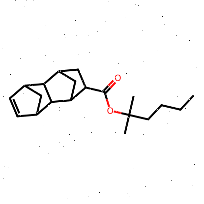 CCCCC(C)(C)OC(=O)C1CC2CC1C1C3C=CC(C3)C21